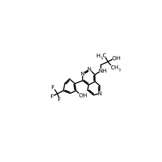 CC(C)(O)CNc1nnc(-c2ccc(C(F)(F)F)cc2O)c2ccncc12